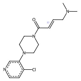 CN(C)C/C=C/C(=O)N1CCN(c2cnccc2Cl)CC1